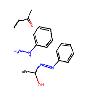 CCC(C)=O.CCCC(O)/N=N/c1ccccc1.NNc1ccccc1